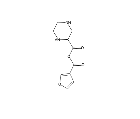 O=C(OC(=O)C1CNCCN1)c1ccoc1